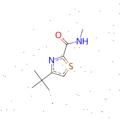 CNC(=O)c1nc(C(C)(C)C)cs1